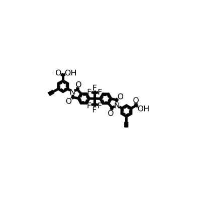 C#Cc1cc(C(=O)O)cc(N2C(=O)c3ccc(C(c4ccc5c(c4)C(=O)N(c4cc(C#C)cc(C(=O)O)c4)C5=O)(C(F)(F)F)C(F)(F)F)cc3C2=O)c1